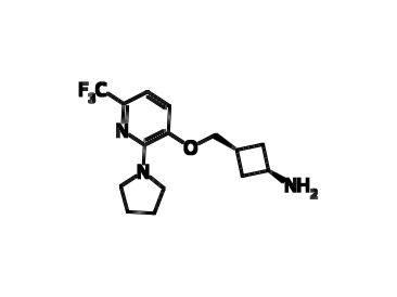 N[C@H]1C[C@@H](COc2ccc(C(F)(F)F)nc2N2CCCC2)C1